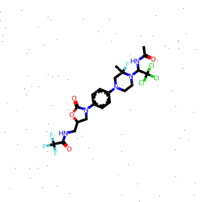 CC(=O)NC(N1CCN(c2ccc(N3CC(CNC(=O)C(F)(F)F)OC3=O)cc2)CC1(C)F)C(Cl)(Cl)Cl